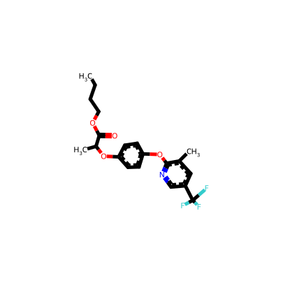 CCCCOC(=O)C(C)Oc1ccc(Oc2ncc(C(F)(F)F)cc2C)cc1